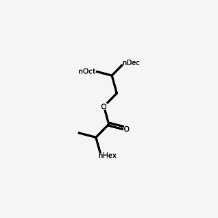 CCCCCCCCCCC(CCCCCCCC)COC(=O)C(C)CCCCCC